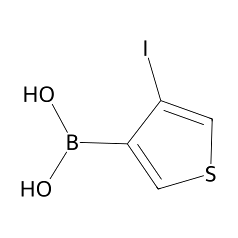 OB(O)c1cscc1I